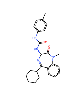 Cc1ccc(NC(=O)N[C@@H]2N=C(C3CCCCC3)c3ccccc3N(C)C2=O)cc1